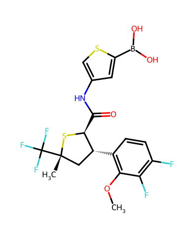 COc1c([C@@H]2C[C@](C)(C(F)(F)F)S[C@H]2C(=O)Nc2csc(B(O)O)c2)ccc(F)c1F